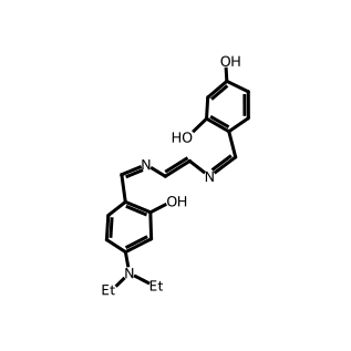 CCN(CC)c1ccc(\C=N/C=C/N=C\c2ccc(O)cc2O)c(O)c1